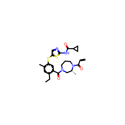 C=CC(=O)N1CCCN(C(=O)c2cc(Sc3cnc(NC(=O)C4CC4)s3)c(C)cc2CC)C[C@H]1C